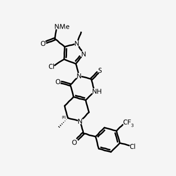 CNC(=O)c1c(Cl)c(-n2c(=S)[nH]c3c(c2=O)C[C@@H](C)N(C(=O)c2ccc(Cl)c(C(F)(F)F)c2)C3)nn1C